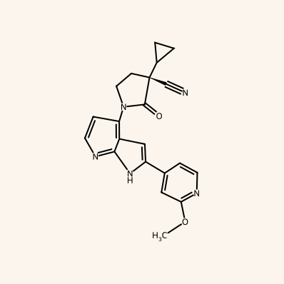 COc1cc(-c2cc3c(N4CC[C@](C#N)(C5CC5)C4=O)ccnc3[nH]2)ccn1